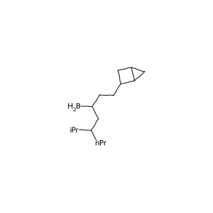 BC(CCC1CC2CC12)CC(CCC)C(C)C